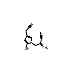 C=C(C#N)Cn1cc(CC#N)cc1O